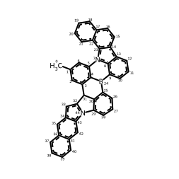 Cc1cc2c3c(c1)-n1c4c(cccc4c4ccc5ccccc5c41)B3c1cccc3c1C2c1cc2cc4ccccc4cc2n1-3